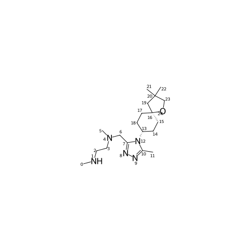 CNCCN(C)Cc1nnc(C)n1[C@H]1CC[C@]2(CC1)CC(C)(C)CO2